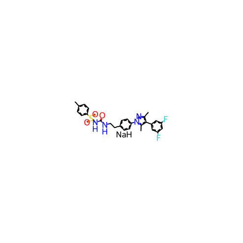 Cc1ccc(S(=O)(=O)NC(=O)NCCc2ccc(-n3nc(C)c(-c4cc(F)cc(F)c4)c3C)cc2)cc1.[NaH]